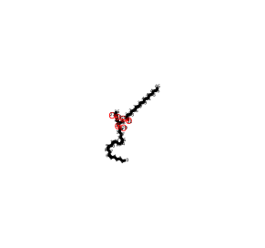 CCCCC/C=C\C/C=C\C/C=C\C/C=C\CCCC(=O)OC(COC(C)=O)COC(=O)CCCCCCCCCCCCCCC